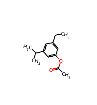 CCc1cc(OC(C)=O)cc([C](C)C)c1